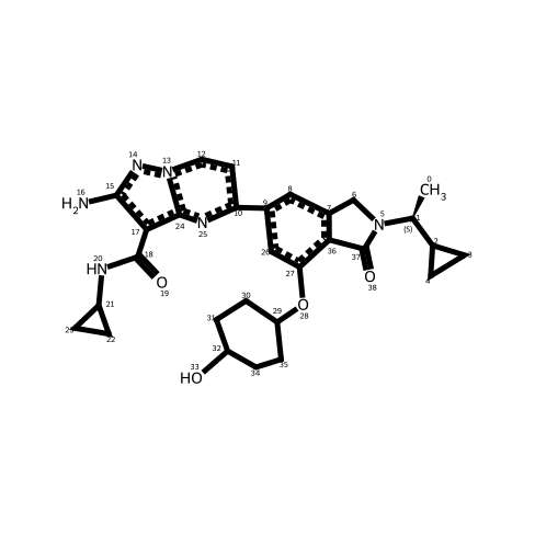 C[C@@H](C1CC1)N1Cc2cc(-c3ccn4nc(N)c(C(=O)NC5CC5)c4n3)cc(OC3CCC(O)CC3)c2C1=O